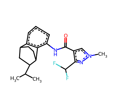 CC(C)C1CC2CCC1c1c(NC(=O)c3cn(C)nc3C(F)F)cccc12